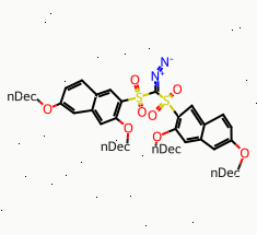 CCCCCCCCCCOc1ccc2cc(S(=O)(=O)C(=[N+]=[N-])S(=O)(=O)c3cc4ccc(OCCCCCCCCCC)cc4cc3OCCCCCCCCCC)c(OCCCCCCCCCC)cc2c1